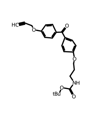 C#CCOc1ccc(C(=O)c2ccc(OCCCNC(=O)OC(C)(C)C)cc2)cc1